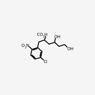 O=C(O)C(Cc1cc(Cl)ccc1[N+](=O)[O-])CC(O)CCO